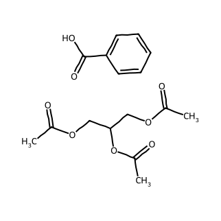 CC(=O)OCC(COC(C)=O)OC(C)=O.O=C(O)c1ccccc1